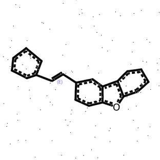 C(=C\c1ccc2oc3ccccc3c2c1)/c1ccccc1